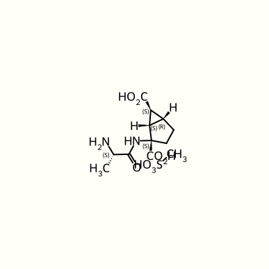 CS(=O)(=O)O.C[C@H](N)C(=O)N[C@@]1(C(=O)O)CC[C@H]2[C@H](C(=O)O)[C@H]21